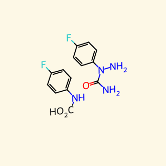 NC(=O)N(N)c1ccc(F)cc1.O=C(O)Nc1ccc(F)cc1